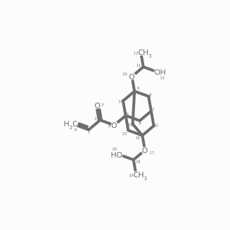 C=CC(=O)OC12CC3CC(OC(C)O)(C1)CC(OC(C)O)(C3)C2